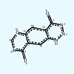 O=c1nn[nH]c2cc3c(=O)ncoc3cc12